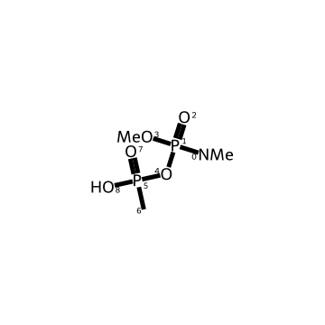 CNP(=O)(OC)OP(C)(=O)O